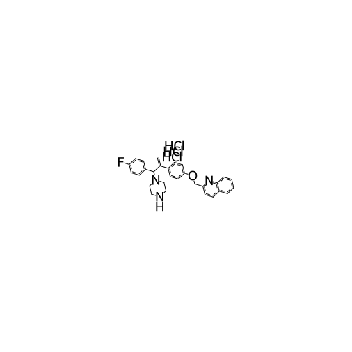 C=C(c1ccc(OCc2ccc3ccccc3n2)cc1)C(c1ccc(F)cc1)N1CCNCC1.Cl.Cl.Cl